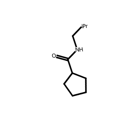 CC(C)CNC(=O)C1CCCC1